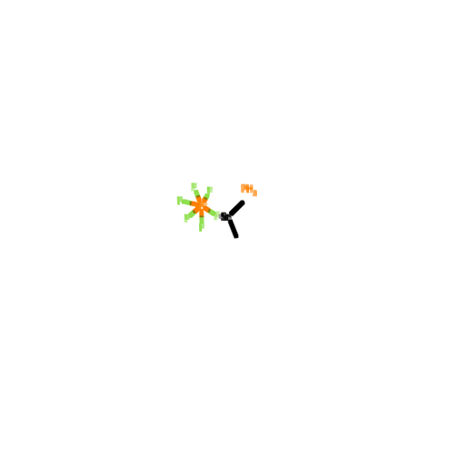 F[P-](F)(F)(F)(F)F.P.[CH3][Sn][CH3]